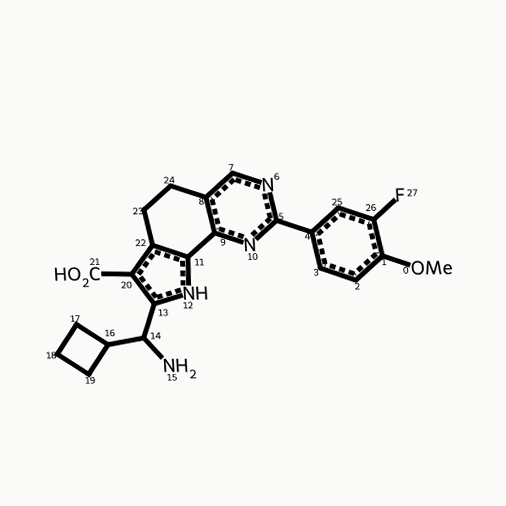 COc1ccc(-c2ncc3c(n2)-c2[nH]c(C(N)C4CCC4)c(C(=O)O)c2CC3)cc1F